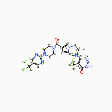 C[C@@H](Cn1ccc(C(=O)N2CCN(c3ncc(C(F)(F)F)cn3)CC2)c1)N(C)c1cn[nH]c(=O)c1C(F)(F)F